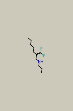 CCCCCC(CNCCC)=C(F)F